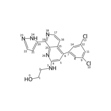 OCCNc1cc(-c2cc(Cl)cc(Cl)c2)c2ccnc(-c3ccn[nH]3)c2n1